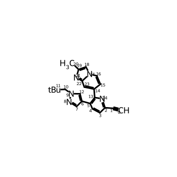 C#Cc1ccc(-c2cnn(CC(C)(C)C)c2)c(-c2ccn3cc(C)nc3c2)n1